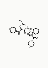 CCCC[C@H](NC(=O)C1(NC(=O)N2CCOCC2)CCCCC1)C(=O)C(=O)NN1CCOCC1